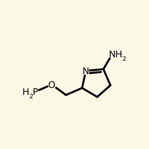 NC1=NC(COP)CC1